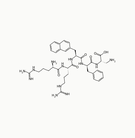 N=C(N)NCCC[C@@H](N)C(=O)N[C@@H](CCCNC(=N)N)C(=O)N[C@@H](Cc1ccc2ccccc2c1)C(=O)N[C@H](Cc1ccccc1)C(=O)N[C@@H](CN)C(=O)O